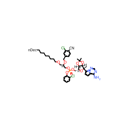 CCCCCCCCCCCCCCCCCCOC[C@H](COP(=O)(OC[C@H]1O[C@@](C)(c2ccc3c(N)ncnn23)[C@@H]2OC(C)(C)O[C@@H]21)Oc1ccccc1Cl)OCc1ccc(C#N)c(Cl)c1